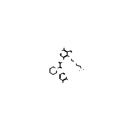 COc1ncc([C@H]2CC[C@H](C)CN2C(=O)C(=O)Nc2cnc(N)c3cnn(COCC[Si](C)(C)C)c23)cc1C